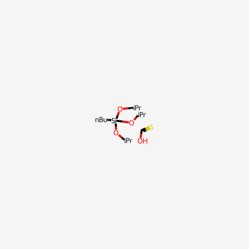 CCCC[Si](OC(C)C)(OC(C)C)OC(C)C.OC=S